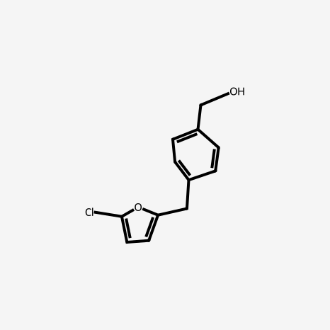 OCc1ccc(Cc2ccc(Cl)o2)cc1